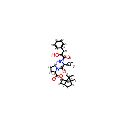 CC1(C)C2(C)CCC3CC(OC(=O)C4CCCN4C(=O)C(NC(=O)C(O)Cc4ccccc4)C(F)(F)F)C312